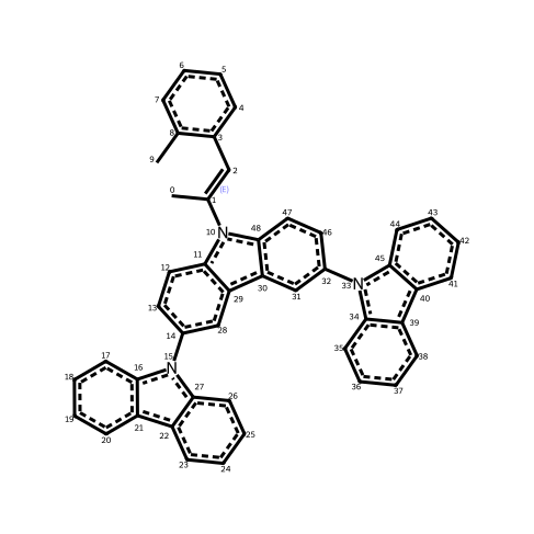 C/C(=C\c1ccccc1C)n1c2ccc(-n3c4ccccc4c4ccccc43)cc2c2cc(-n3c4ccccc4c4ccccc43)ccc21